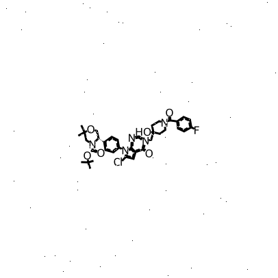 CC(C)(C)OC(=O)N1CC(C)(C)OC[C@@H]1c1ccc(-n2c(Cl)cc3c(=O)n(CC4(O)CCN(C(=O)c5ccc(F)cc5)CC4)cnc32)cc1